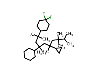 CC(C)C(C)(C)CC(C)(CC(C)(CC(C)(C)C1CCC(F)(F)CC1)C1CCCCC1)C1CC1